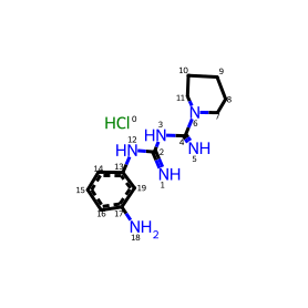 Cl.N=C(NC(=N)N1CCCCC1)Nc1cccc(N)c1